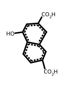 O=C(O)c1ccc2c(O)cc(C(=O)O)cc2c1